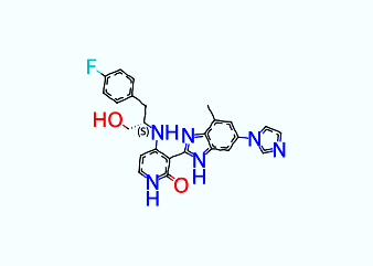 Cc1cc(-n2ccnc2)cc2[nH]c(-c3c(N[C@H](CO)Cc4ccc(F)cc4)cc[nH]c3=O)nc12